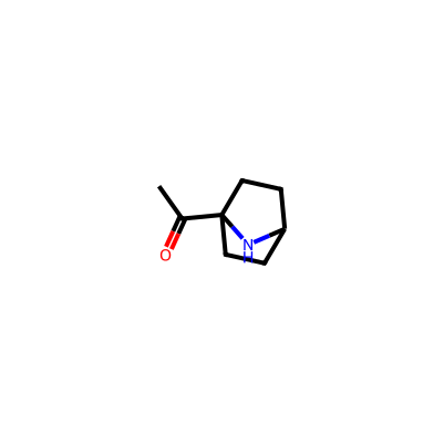 CC(=O)C12CCC(CC1)N2